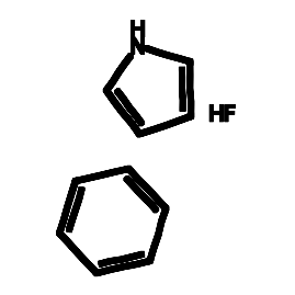 F.c1cc[nH]c1.c1ccccc1